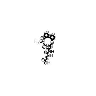 CN1CC(=O)N2C[C@H](NC(=O)NCCC(=O)O)C[C@H]2COc2ccccc2-c2ccccc2C1=O